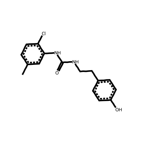 Cc1ccc(Cl)c(NC(=O)NCCc2ccc(O)cc2)c1